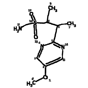 COc1cnc(C(C)C(C)S(N)(=O)=O)nc1